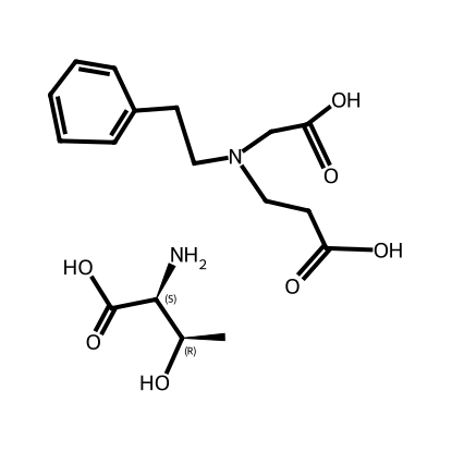 C[C@@H](O)[C@H](N)C(=O)O.O=C(O)CCN(CCc1ccccc1)CC(=O)O